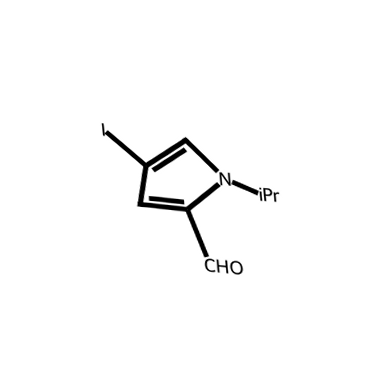 CC(C)n1cc(I)cc1C=O